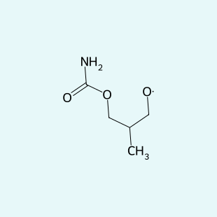 CC(C[O])COC(N)=O